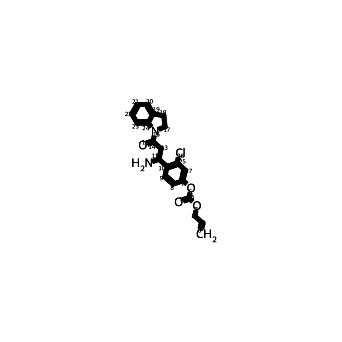 C=CCOC(=O)Oc1ccc(C(N)CC(=O)N2CCc3ccccc32)c(Cl)c1